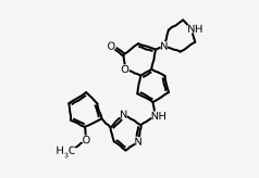 COc1ccccc1-c1ccnc(Nc2ccc3c(N4CCNCC4)cc(=O)oc3c2)n1